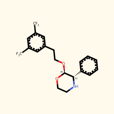 FC(F)(F)c1cc(CCO[C@@H]2OCCN[C@H]2c2ccccc2)cc(C(F)(F)F)c1